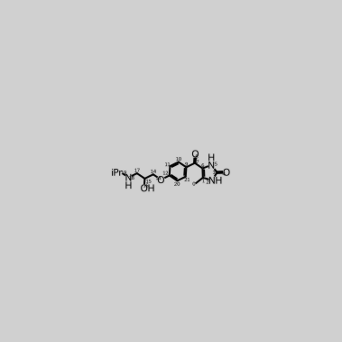 Cc1[nH]c(=O)[nH]c1C(=O)c1ccc(OCC(O)CNC(C)C)cc1